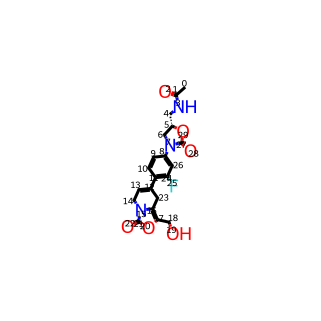 CC(=O)NC[C@H]1CN(c2ccc(C3=CCn4c(c(CO)oc4=O)C3)c(F)c2)C(=O)O1